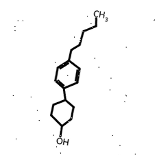 CCCCCc1ccc(C2CCC(O)CC2)cc1